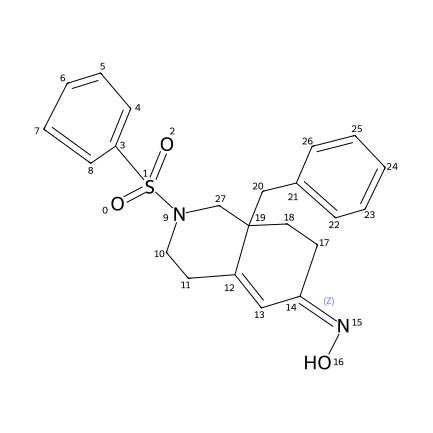 O=S(=O)(c1ccccc1)N1CCC2=C/C(=N\O)CCC2(Cc2ccccc2)C1